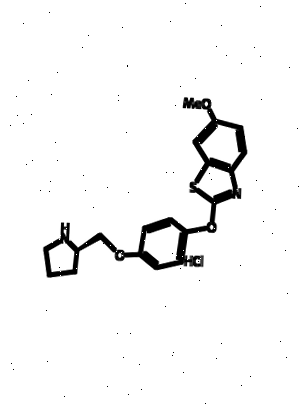 COc1ccc2nc(Oc3ccc(OC[C@H]4CCCN4)cc3)sc2c1.Cl